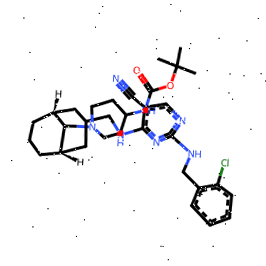 CC(C)(C)OC(=O)NC1CCN(C2[C@@H]3CCC[C@H]2CC(CNc2nc(NCc4ccccc4Cl)ncc2C#N)C3)CC1